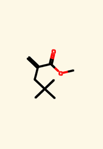 C=C(CC(C)(C)C)C(=O)OC